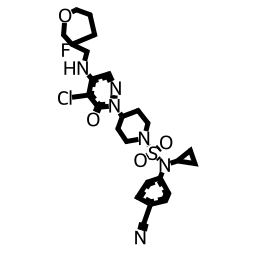 N#Cc1ccc(N(C2CC2)S(=O)(=O)N2CCC(n3ncc(NC[C@]4(F)CCCOC4)c(Cl)c3=O)CC2)cc1